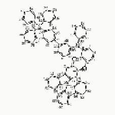 C1=C2Oc3c(cccc3N(c3ccccc3)c3cccc(-c4ccc(S(c5ccccc5)(c5ccccc5)c5ccccc5)cc4)c3)OC2CC2=C1c1ccccc1C21c2ccccc2-c2ccccc21